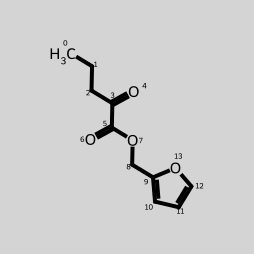 CCCC(=O)C(=O)OCc1ccco1